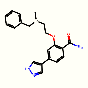 C[As](CCOc1cc(-c2cn[nH]c2)ccc1C(N)=O)Cc1ccccc1